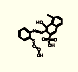 Cc1cccc2cc(S(=O)(=O)O)c(N=Nc3ccccc3SOOO)c(O)c12